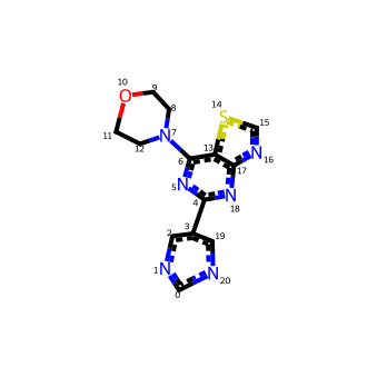 c1ncc(-c2nc(N3CCOCC3)c3scnc3n2)cn1